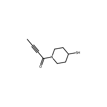 CC#CC(=O)N1CCC(S)CC1